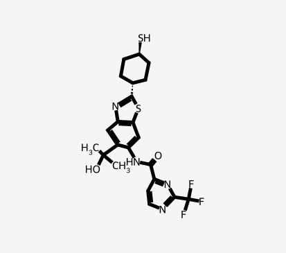 CC(C)(O)c1cc2nc([C@H]3CC[C@H](S)CC3)sc2cc1NC(=O)c1ccnc(C(F)(F)F)n1